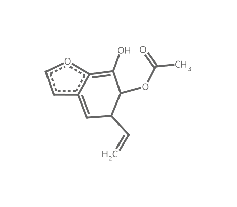 C=CC1C=c2ccoc2=C(O)C1OC(C)=O